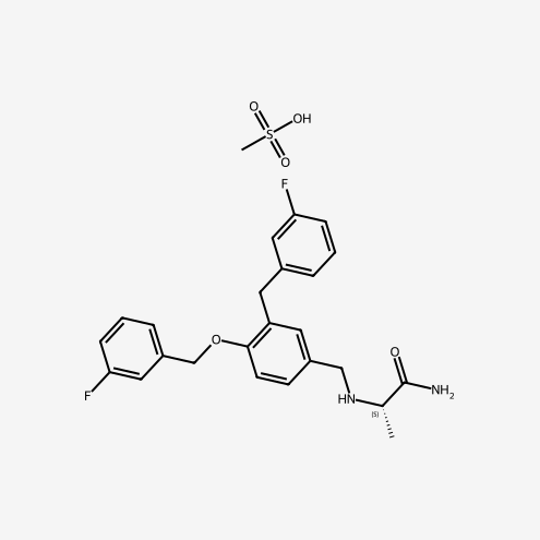 CS(=O)(=O)O.C[C@H](NCc1ccc(OCc2cccc(F)c2)c(Cc2cccc(F)c2)c1)C(N)=O